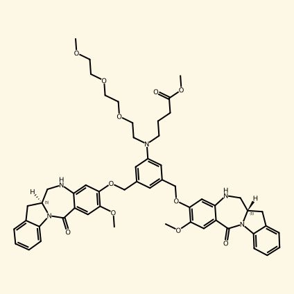 COCCOCCOCCN(CCCC(=O)OC)c1cc(COc2cc3c(cc2OC)C(=O)N2c4ccccc4C[C@H]2CN3)cc(COc2cc3c(cc2OC)C(=O)N2c4ccccc4C[C@H]2CN3)c1